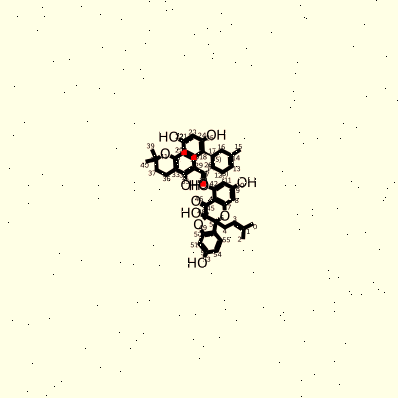 CC(C)=CCC12Oc3cc(O)c([C@H]4C=C(C)C[C@H](c5ccc(O)cc5O)[C@H]4C(=O)c4ccc5c(c4O)CCC(C)(C)O5)c(O)c3C(=O)C1(O)Oc1cc(O)ccc12